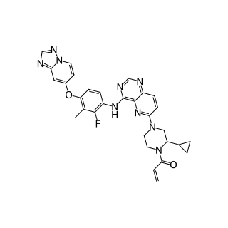 C=CC(=O)N1CCN(c2ccc3ncnc(Nc4ccc(Oc5ccn6ncnc6c5)c(C)c4F)c3n2)CC1C1CC1